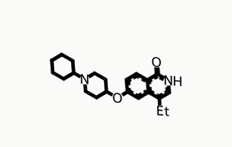 CCc1c[nH]c(=O)c2ccc(OC3CCN(C4CCCCC4)CC3)cc12